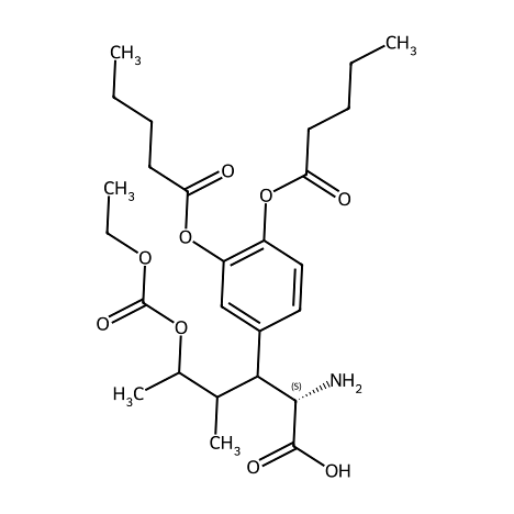 CCCCC(=O)Oc1ccc(C(C(C)C(C)OC(=O)OCC)[C@H](N)C(=O)O)cc1OC(=O)CCCC